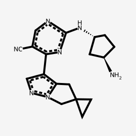 N#Cc1cnc(N[C@@H]2CC[C@@H](N)C2)nc1-c1cnn2c1CC1(CC1)C2